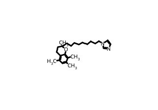 Cc1cc(C)c2c(c1C)O[C@](C)(CCCCCCCCCn1ccnc1)CC2